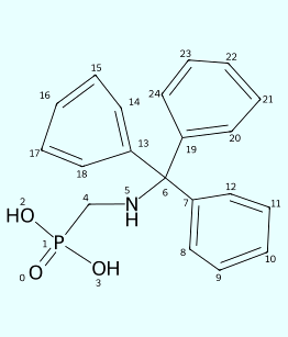 O=P(O)(O)CNC(c1ccccc1)(c1ccccc1)c1ccccc1